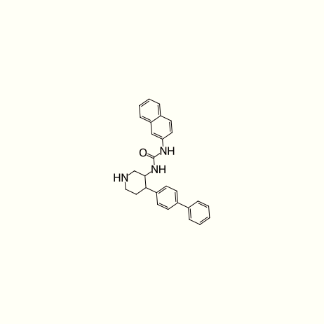 O=C(Nc1ccc2ccccc2c1)NC1CNCCC1c1ccc(-c2ccccc2)cc1